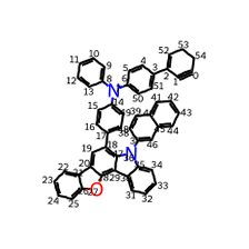 C1#CC(c2ccc(N(c3ccccc3)c3ccc(-c4cc5c6ccccc6oc5c5c6ccccc6n(-c6ccc7ccccc7c6)c45)cc3)cc2)=CCC1